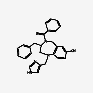 N#Cc1ccc2c(c1)CN(C(=O)c1ccccc1)C(Cc1ccccc1)CN2Cc1c[nH]cn1